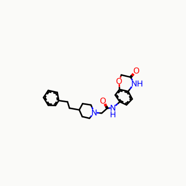 O=C(CN1CCC(CCc2ccccc2)CC1)Nc1ccc2c(c1)OCC(=O)N2